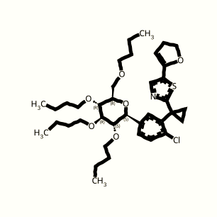 CCCCOC[C@H]1O[C@@H](c2ccc(Cl)c(C3(c4ncc(C5=CCCO5)s4)CC3)c2)[C@H](OCCCC)[C@@H](OCCCC)[C@@H]1OCCCC